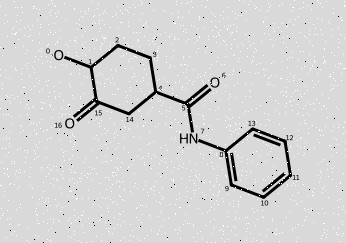 [O]C1CCC(C(=O)Nc2ccccc2)CC1=O